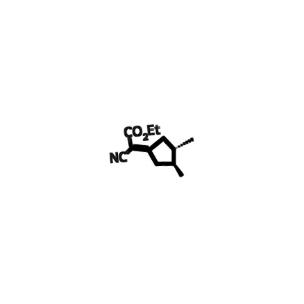 CCOC(=O)C(C#N)=C1C[C@H](C)[C@@H](C)C1